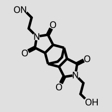 O=NCCN1C(=O)C2C3CCC(C4C(=O)N(CCO)C(=O)C34)C2C1=O